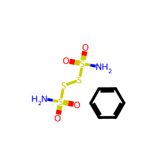 NS(=O)(=O)SSS(N)(=O)=O.c1ccccc1